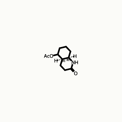 CC(=O)OC1CCC[C@H]2NC(=O)CC[C@@H]12